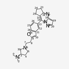 CN(C)[C@@H]1CCN(CCc2cc3cc(-c4c5c(nc6ccnn46)CCC5)ccc3o2)C1